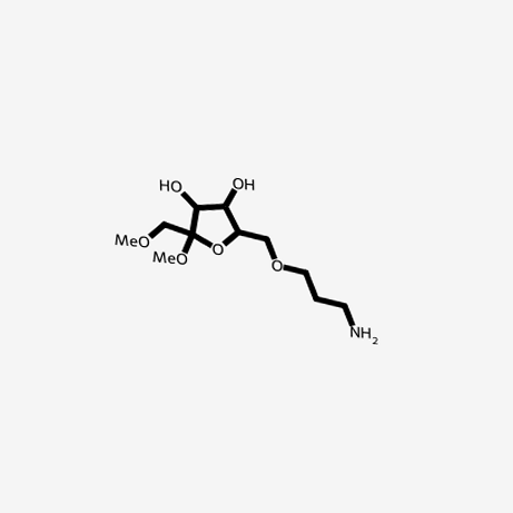 COCC1(OC)OC(COCCCN)C(O)C1O